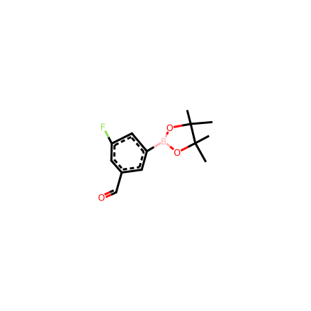 CC1(C)OB(c2cc(F)cc(C=O)c2)OC1(C)C